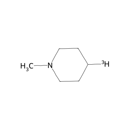 [3H]C1CCN(C)CC1